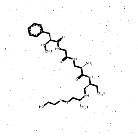 N[C@@H](CNC(=O)CNC(=O)[C@H](Cc1ccccc1)NC=O)C(=O)N[C@H](CN[C@@H](CSSCCO)C(=O)O)CC(=O)O